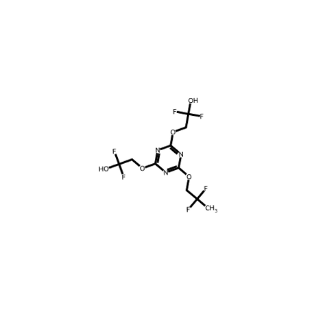 CC(F)(F)COc1nc(OCC(O)(F)F)nc(OCC(O)(F)F)n1